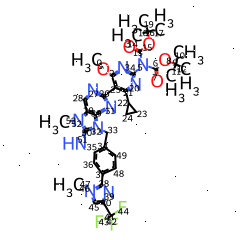 COc1nc(N(C(=O)OC(C)(C)C)C(=O)OC(C)(C)C)nc(C2CC2)c1-c1ncc2c(n1)n(Cc1ccc(-c3nc(C(F)(F)F)cn3C)cc1)c(=N)n2C